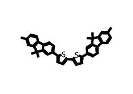 Cc1ccc2c(c1)C(C)(C)c1cc(-c3ccc(-c4ccc(-c5ccc6c(c5)C(C)(C)c5cc(C)ccc5-6)s4)s3)ccc1-2